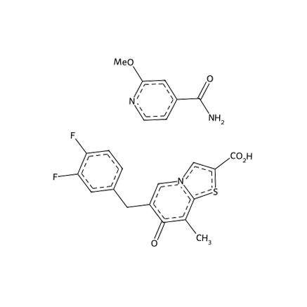 COc1cc(C(N)=O)ccn1.Cc1c(=O)c(Cc2ccc(F)c(F)c2)cn2cc(C(=O)O)sc12